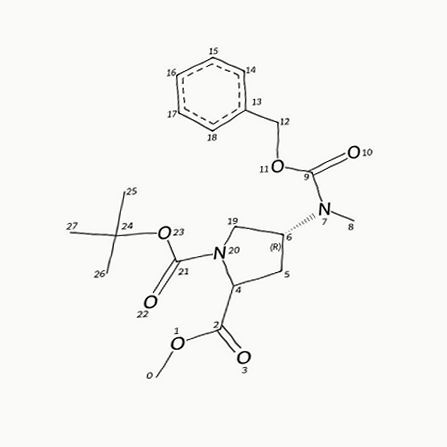 COC(=O)C1C[C@@H](N(C)C(=O)OCc2ccccc2)CN1C(=O)OC(C)(C)C